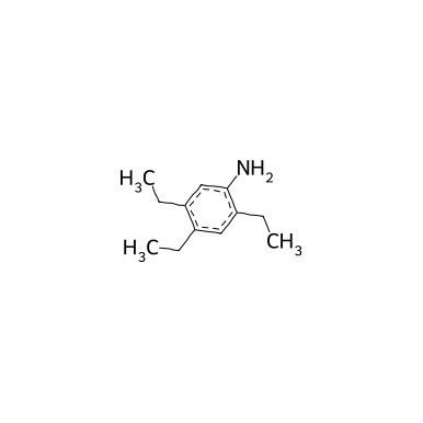 CCc1cc(CC)c(CC)cc1N